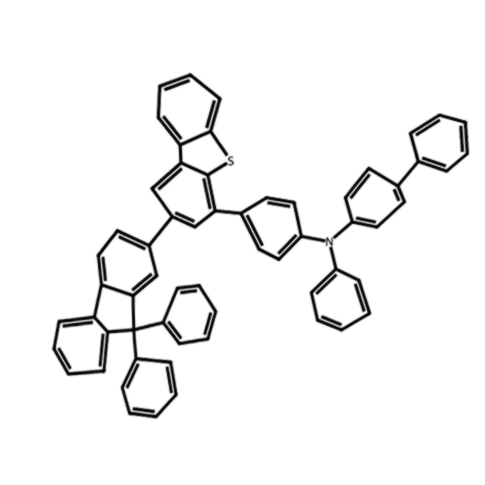 c1ccc(-c2ccc(N(c3ccccc3)c3ccc(-c4cc(-c5ccc6c(c5)C(c5ccccc5)(c5ccccc5)c5ccccc5-6)cc5c4sc4ccccc45)cc3)cc2)cc1